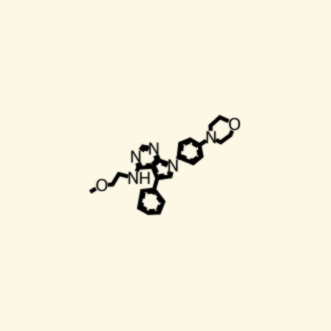 COCCNc1ncnc2c1c(-c1ccccc1)cn2-c1ccc(N2CCOCC2)cc1